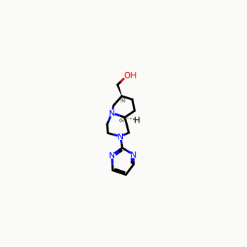 OC[C@H]1CC[C@H]2CN(c3ncccn3)CCN2C1